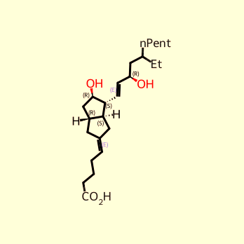 CCCCCC(CC)C[C@@H](O)/C=C/[C@@H]1[C@H]2C/C(=C/CCCC(=O)O)C[C@@H]2C[C@H]1O